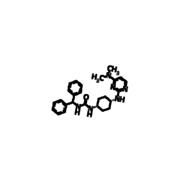 CN(C)c1ccnc(N[C@H]2CC[C@@H](NC(=O)NC(c3ccccc3)c3ccccc3)CC2)n1